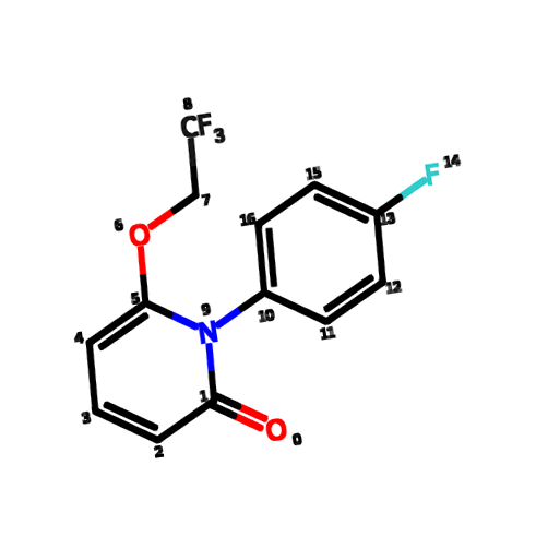 O=c1cccc(OCC(F)(F)F)n1-c1ccc(F)cc1